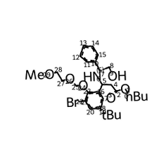 CCCCOC(=O)CC(N[C@H](CO)c1ccccc1)c1cc(C(C)(C)C)cc(Br)c1OCOCCOC